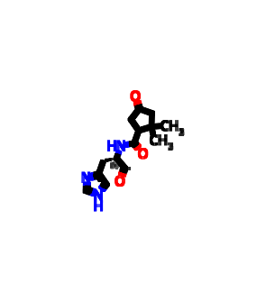 CC1(C)CC(=O)CC1C(=O)N[C@H]([C]=O)Cc1c[nH]cn1